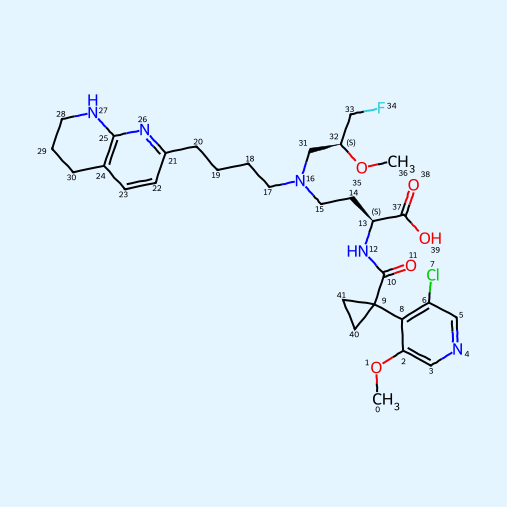 COc1cncc(Cl)c1C1(C(=O)N[C@@H](CCN(CCCCc2ccc3c(n2)NCCC3)C[C@@H](CF)OC)C(=O)O)CC1